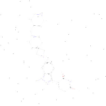 Cn1nc(C2CCC(=O)NC2=O)c2ccc(N3CC4(CCN(CC5CCNCC5)CC4)C3)cc21